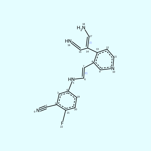 N#Cc1cc(N/C=C/c2cnccc2/C(C=N)=C/N)ccc1F